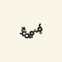 CCc1ccc(Cl)c(COc2ccc3c(c2)OCC32CCN(CC(C)C(=O)OC(C)(C)C)CC2)c1